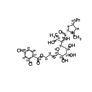 CCC[C@@H]1C[C@@H](C(=O)N[C@@H]([C@H]2O[C@H](SCCOC(=O)c3ccc(Cl)cc3Cl)[C@H](O)[C@@H](O)[C@H]2O)[C@@H](C)O)N(C)C1